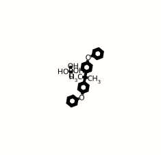 CC(C)(c1ccc(Oc2ccccc2)cc1)c1ccc(Oc2ccccc2)cc1.O=P(O)(O)O